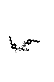 [CH2]COC[C](OOC(=O)c1ccc(CCCCC)cc1)OOC(=O)c1ccc(CCCCC)cc1